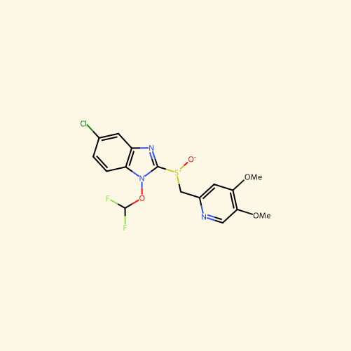 COc1cnc(C[S+]([O-])c2nc3cc(Cl)ccc3n2OC(F)F)cc1OC